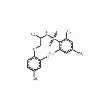 Cc1cc(C)c(S(=O)(=O)NC(COc2ccc(C)cc2Cl)C(F)(F)F)c(C)c1